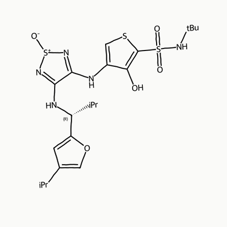 CC(C)c1coc([C@H](Nc2n[s+]([O-])nc2Nc2csc(S(=O)(=O)NC(C)(C)C)c2O)C(C)C)c1